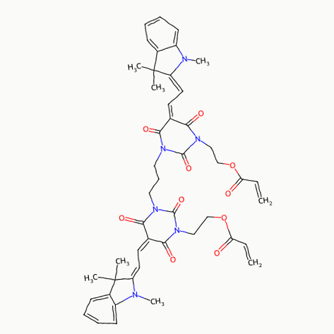 C=CC(=O)OCCN1C(=O)/C(=C\C=C2\N(C)c3ccccc3C2(C)C)C(=O)N(CCCN2C(=O)/C(=C/C=C3/N(C)c4ccccc4C3(C)C)C(=O)N(CCOC(=O)C=C)C2=O)C1=O